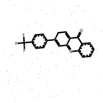 O=C1C2=CCC(c3ccc(C(F)(F)F)cc3)=CC2=Nc2ccccc21